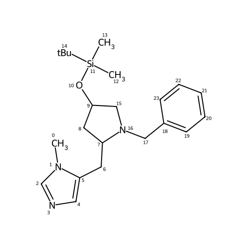 Cn1cncc1CC1CC(O[Si](C)(C)C(C)(C)C)CN1Cc1ccccc1